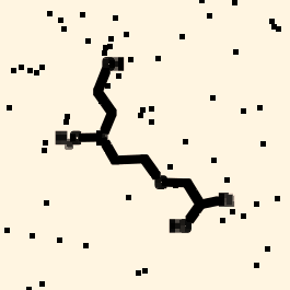 CCC(O)COCCN(C)CCO